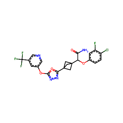 NC(=O)C(Oc1ccc(Cl)c(F)c1)C12CC(c3nnc(Oc4cncc(C(F)(F)F)c4)o3)(C1)C2